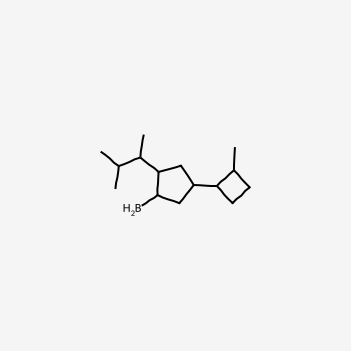 BC1CC(C2CCC2C)CC1C(C)C(C)C